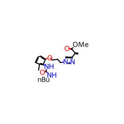 C=C(C(=O)OC)c1cn(CCCOc2cccc(C)c2NC(=O)NCCCC)cn1